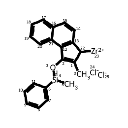 CC1=C(O[SiH](C)c2ccccc2)c2c(ccc3ccccc23)[CH]1[Zr+2].[Cl-].[Cl-]